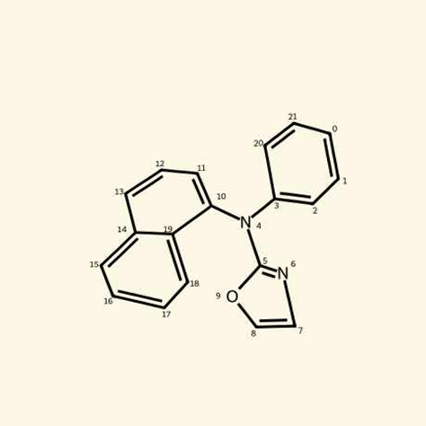 c1ccc(N(c2ncco2)c2cccc3ccccc23)cc1